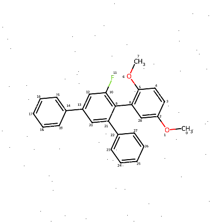 COc1ccc(OC)c(-c2c(F)cc(-c3ccccc3)cc2-c2ccccc2)c1